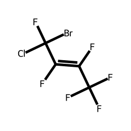 F/C(=C(/F)C(F)(Cl)Br)C(F)(F)F